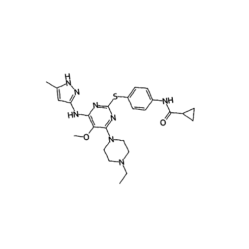 CCN1CCN(c2nc(Sc3ccc(NC(=O)C4CC4)cc3)nc(Nc3cc(C)[nH]n3)c2OC)CC1